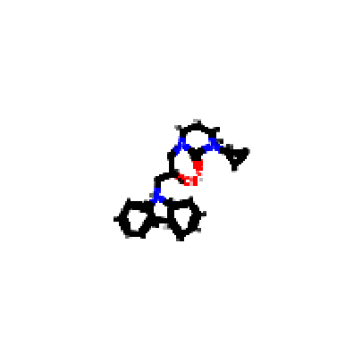 O=C1N(CC(O)Cn2c3ccccc3c3ccccc32)CCCN1C1CC1